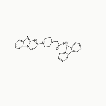 O=C(CN1CCN(c2ccn3c(n2)nc2ccccc23)CC1)NC1c2ccccc2-c2ccccc21